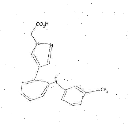 O=C(O)Cn1cc(-c2ccccc2Nc2cccc(C(F)(F)F)c2)cn1